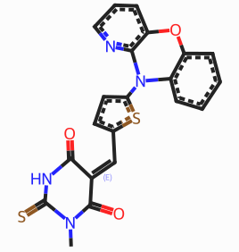 CN1C(=O)/C(=C/c2ccc(N3c4ccccc4Oc4cccnc43)s2)C(=O)NC1=S